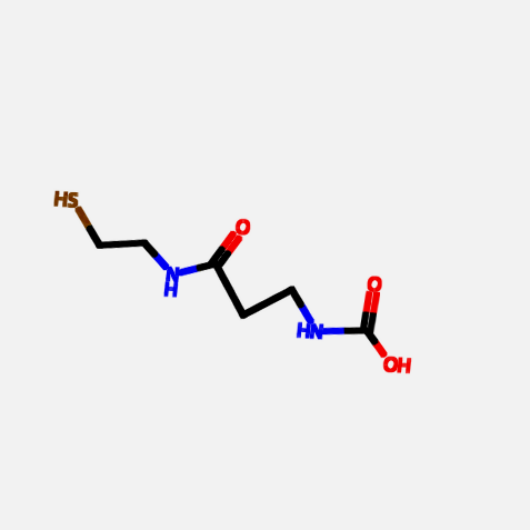 O=C(O)NCCC(=O)NCCS